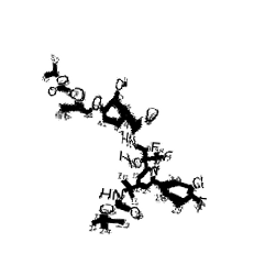 COc1cc(C(=O)NCC(O)(c2cc(C(C)(C)NC(=O)OC(C)(C)C)cc(-c3ccc(F)c(Cl)c3)n2)C(F)(F)F)ccc1OCC(C)OC(=O)OC(C)C